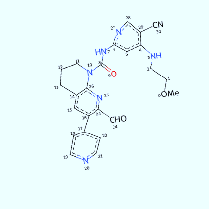 COCCNc1cc(NC(=O)N2CCCc3cc(-c4ccncc4)c(C=O)nc32)ncc1C#N